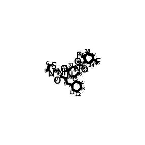 O=C(Nc1nccs1)C(CC1CCCCC1)N1CCN(S(=O)(=O)c2cc(F)ccc2F)CC1=O